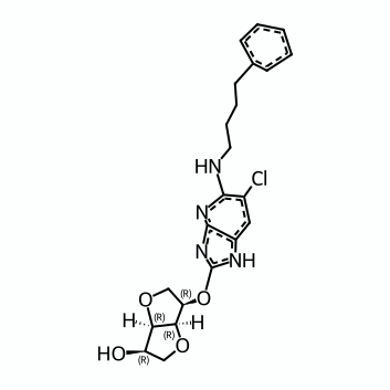 O[C@@H]1CO[C@H]2[C@@H]1OC[C@H]2Oc1nc2nc(NCCCCc3ccccc3)c(Cl)cc2[nH]1